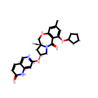 Cc1cc2c(c(OC3CCCC3)c1)C(=O)N1C[C@@H](Oc3cc4[nH]c(=O)ccc4cn3)C[C@@H]1CO2